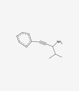 CC(C)C(N)C#Cc1ccccc1